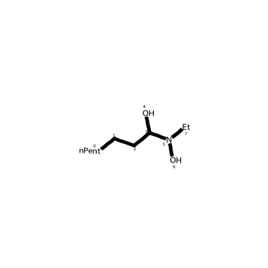 CCCCCCCC(O)N(O)CC